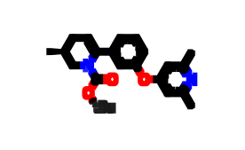 Cc1cc(Oc2cccc(C3=CC[C@H](C)CN3C(=O)OC(C)(C)C)c2)cc(C)n1